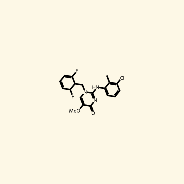 COc1cn(CC2C(F)=CC=CC2F)c(Nc2cccc(Cl)c2C)nc1=O